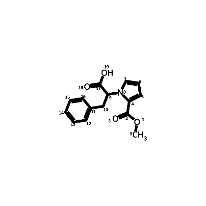 COC(=O)c1cccn1C(Cc1ccccc1)C(=O)O